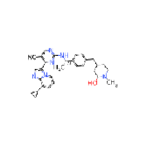 C[C@H](Nc1ncc(C#N)c(-c2cnc3c(C4CC4)cccn23)n1)c1ccc(CC2CCN(C)C(O)C2)cc1